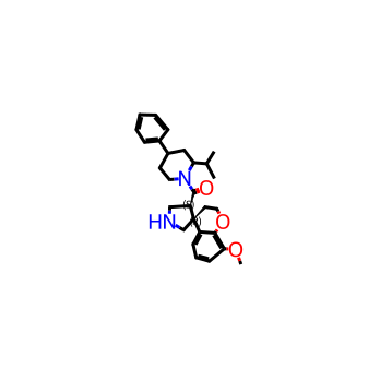 COc1cccc2c1OCC[C@]21CNC[C@H]1C(=O)N1CCC(c2ccccc2)CC1C(C)C